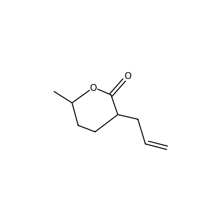 C=CCC1CCC(C)OC1=O